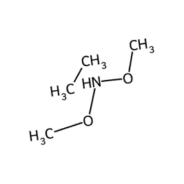 CC.CONOC